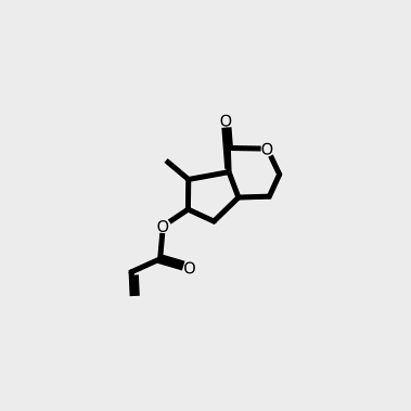 C=CC(=O)OC1CC2CCOC(=O)C2C1C